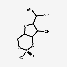 CCCC(CCC)C1OC2COP(=O)(O)OC2C1O